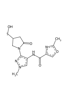 Cc1nc(C(=O)Nc2cn(C)nc2N2CC(SO)CC2=O)co1